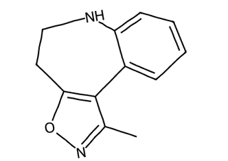 Cc1noc2c1-c1ccccc1NCC2